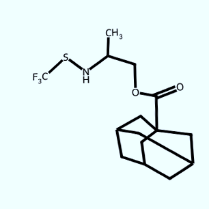 CC(COC(=O)C12CC3CC(CC(C3)C1)C2)NSC(F)(F)F